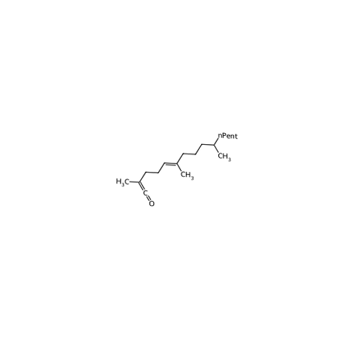 CCCCCC(C)CCC/C(C)=C/CCC(C)=C=O